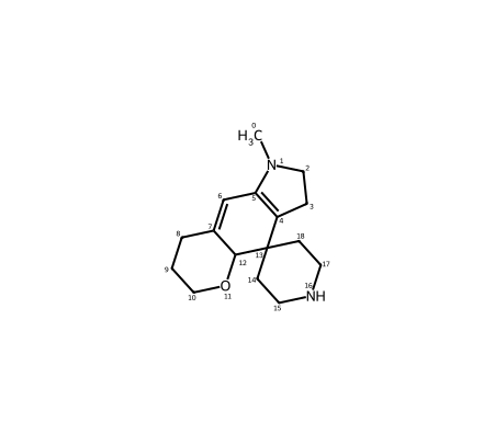 CN1CCC2=C1C=C1CCCOC1C21CCNCC1